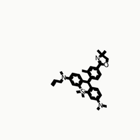 C=CCN(C)c1ccc2c(c1)[Si](C)(C)c1cc(N(C)C)ccc1C2c1ccc(C2=NC(C)(C)CO2)cc1C